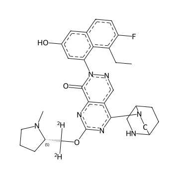 [2H]C([2H])(Oc1nc(N2CC3CCC2CN3)c2cnn(-c3cc(O)cc4ccc(F)c(CC)c34)c(=O)c2n1)[C@@H]1CCCN1C